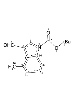 CC(C)(C)OC(=O)n1cc(C=O)c2c(C(F)(F)F)cccc21